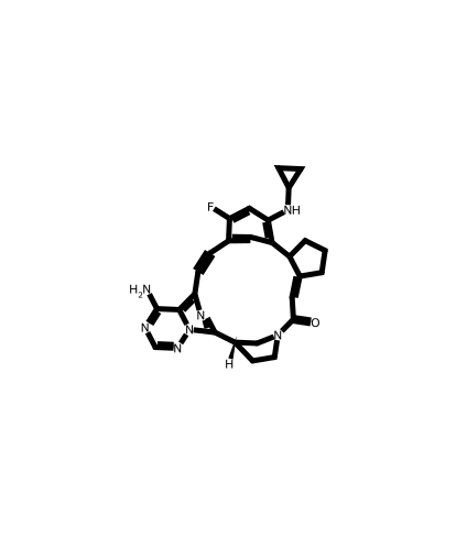 Nc1ncnn2c3nc(c12)C#Cc1cc(c(NC2CC2)cc1F)C1CCC/C1=C\C(=O)N1CC[C@H]3C1